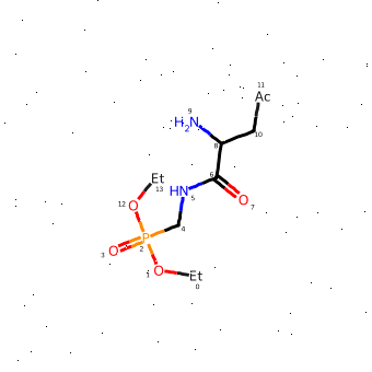 CCOP(=O)(CNC(=O)C(N)CC(C)=O)OCC